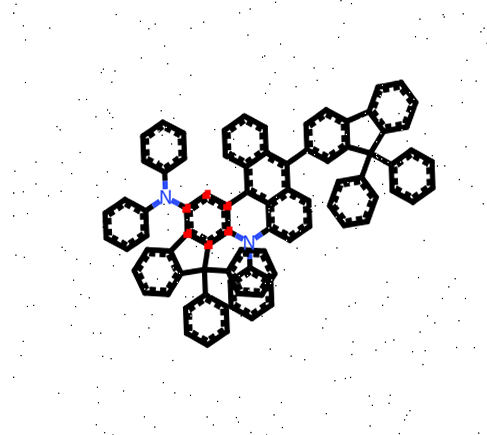 c1ccc(N(c2ccccc2)c2ccc(N(c3ccccc3)c3cccc4c(-c5ccc6c(c5)C(c5ccccc5)(c5ccccc5)c5ccccc5-6)c5ccccc5c(-c5ccc6c(c5)C(c5ccccc5)(c5ccccc5)c5ccccc5-6)c34)cc2)cc1